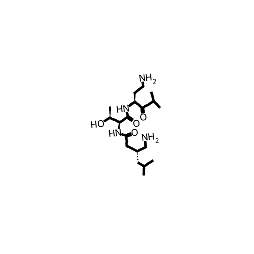 CC(C)C[C@@H](CN)CC(=O)N[C@H](C(=O)N[C@@H](CCN)C(=O)C(C)C)[C@H](C)O